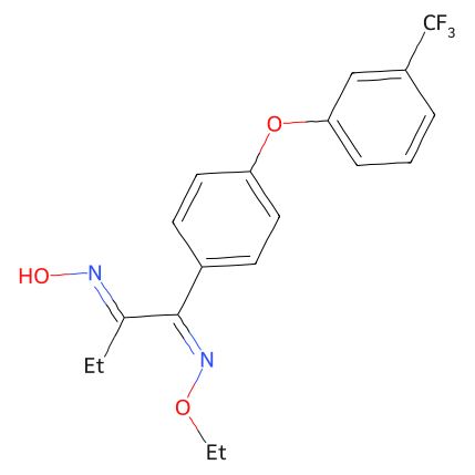 CCON=C(C(CC)=NO)c1ccc(Oc2cccc(C(F)(F)F)c2)cc1